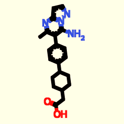 Cc1nc2ccnn2c(N)c1-c1ccc(C2CCC(CC(=O)O)CC2)cc1